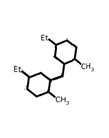 CCC1[CH]CC(C)C(CC2CC(CC)[CH]CC2C)C1